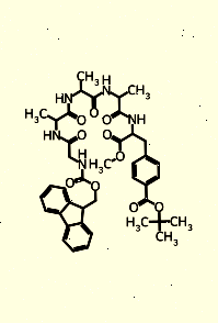 COC(=O)C(Cc1ccc(C(=O)OC(C)(C)C)cc1)NC(=O)C(C)NC(=O)C(C)NC(=O)C(C)NC(=O)CNC(=O)OCC1c2ccccc2-c2ccccc21